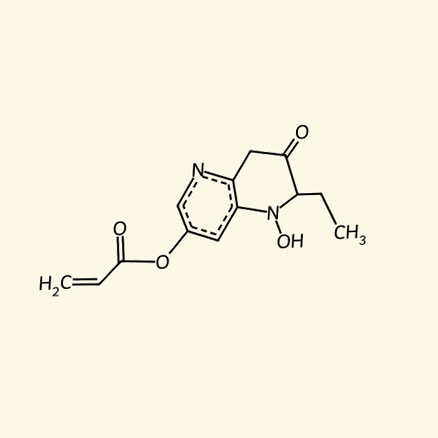 C=CC(=O)Oc1cnc2c(c1)N(O)C(CC)C(=O)C2